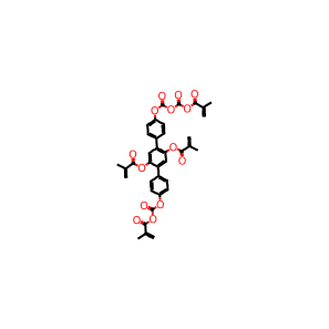 C=C(C)C(=O)OC(=O)OC(=O)Oc1ccc(-c2cc(OC(=O)C(=C)C)c(-c3ccc(OC(=O)OC(=O)C(=C)C)cc3)cc2OC(=O)C(=C)C)cc1